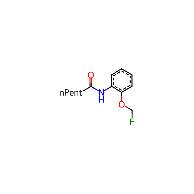 CCCCCC(=O)Nc1ccccc1OCF